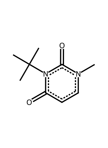 Cn1ccc(=O)n(C(C)(C)C)c1=O